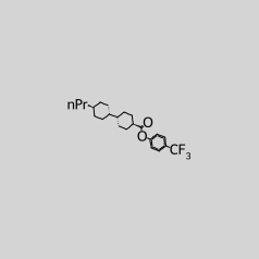 CCC[C@H]1CC[C@H]([C@H]2CC[C@H](C(=O)Oc3ccc(C(F)(F)F)cc3)CC2)CC1